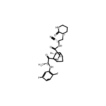 C[C@H](Nc1cc(F)ccc1F)C(=O)N1C2CCC(CC2)[C@@H]1C(=O)N[C@H](C#N)C[C@@H]1CCCNC1=O